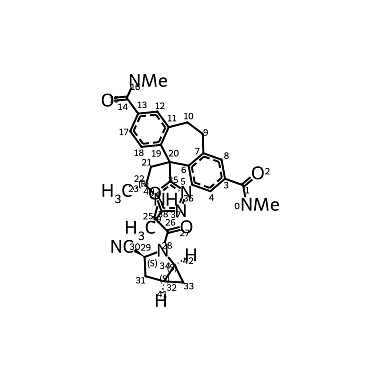 CNC(=O)c1ccc2c(c1)CCc1cc(C(=O)NC)ccc1C2(C[C@@H](C)NCC(=O)N1[C@H](C#N)C[C@@H]2C[C@@H]21)c1nnc(C)o1